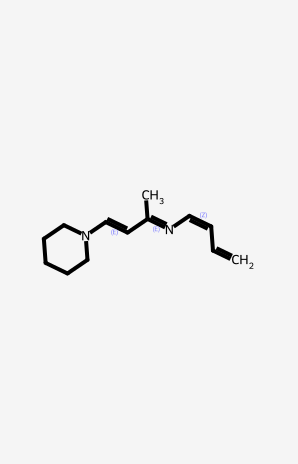 C=C\C=C/N=C(C)/C=C/N1CCCCC1